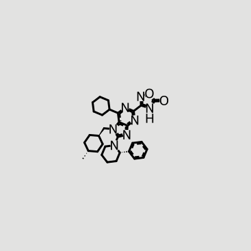 C[C@H]1CC[C@H](Cn2c(N3CCCC[C@H]3c3ccccc3)nc3nc(-c4noc(=O)[nH]4)nc(C4CCCCC4)c32)CC1